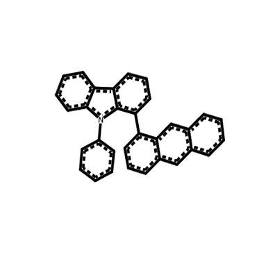 c1ccc(-n2c3ccccc3c3cccc(-c4cccc5cc6ccccc6cc45)c32)cc1